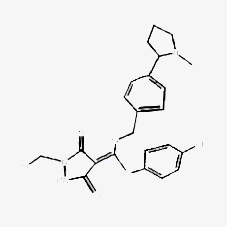 CN1CCCC1c1ccc(CN/C(Sc2ccc(O)cc2)=C2\C(=N)N(CC(C)(C)C)NC2=O)cc1